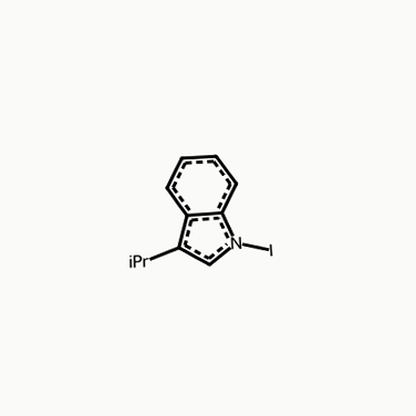 CC(C)c1cn(I)c2ccccc12